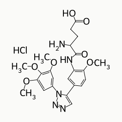 COc1ccc(-c2cnnn2-c2cc(OC)c(OC)c(OC)c2)cc1NC(=O)C(N)CCC(=O)O.Cl